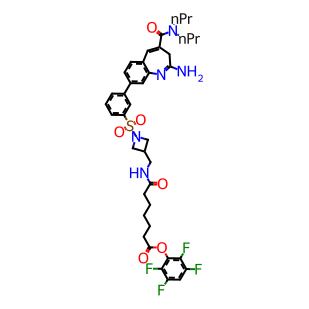 CCCN(CCC)C(=O)C1=Cc2ccc(-c3cccc(S(=O)(=O)N4CC(CNC(=O)CCCCCC(=O)Oc5c(F)c(F)cc(F)c5F)C4)c3)cc2N=C(N)C1